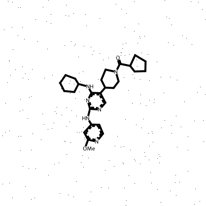 COc1cc(Nc2ncc(C3CCN(C(=O)C4CCCC4)CC3)c(NC3CCCCC3)n2)ccn1